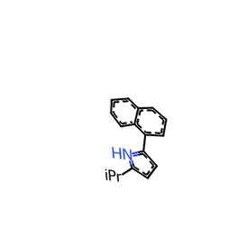 CC(C)c1ccc(-c2cccc3ccccc23)[nH]1